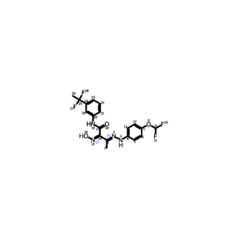 CC(=N\Nc1ccc(OC(F)F)cc1)/C(=N/O)C(=O)Nc1cccc(C(C)(F)F)c1